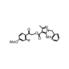 COc1ccc(C(=O)COC(=O)c2c(C)nn(Cc3ccccc3)c2N)c(F)c1